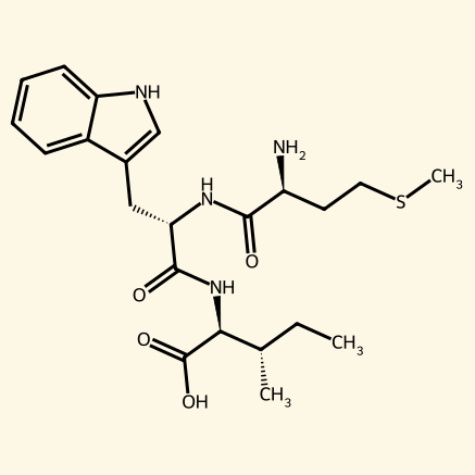 CC[C@H](C)[C@H](NC(=O)[C@H](Cc1c[nH]c2ccccc12)NC(=O)[C@@H](N)CCSC)C(=O)O